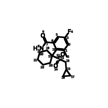 Cc1cc(F)cc(C(N)=O)c1C1(S(=O)(=O)CC2CC2)CCCCC1